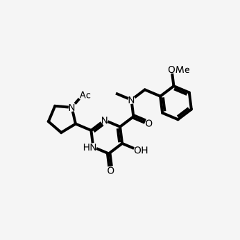 COc1ccccc1CN(C)C(=O)c1nc(C2CCCN2C(C)=O)[nH]c(=O)c1O